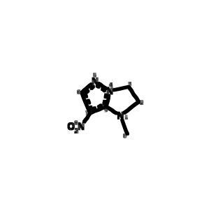 CN1CCn2ncc([N+](=O)[O-])c21